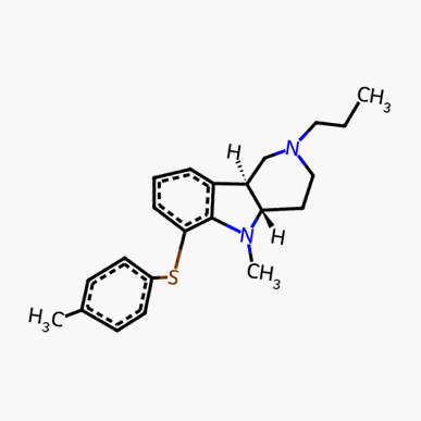 CCCN1CC[C@H]2[C@H](C1)c1cccc(Sc3ccc(C)cc3)c1N2C